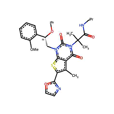 COc1ccccc1[C@@H](Cn1c(=O)n(C(C)(C)C(=O)NC(C)C)c(=O)c2c(C)c(-c3ncco3)sc21)OC(C)C